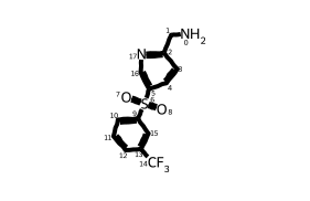 NCc1ccc(S(=O)(=O)c2cccc(C(F)(F)F)c2)cn1